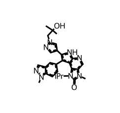 CC(C)n1c(=O)n(C)c2cnc3[nH]c(-c4cnn(CC(C)(C)O)c4)c(-c4ccc5c(cnn5C)c4)c3c21